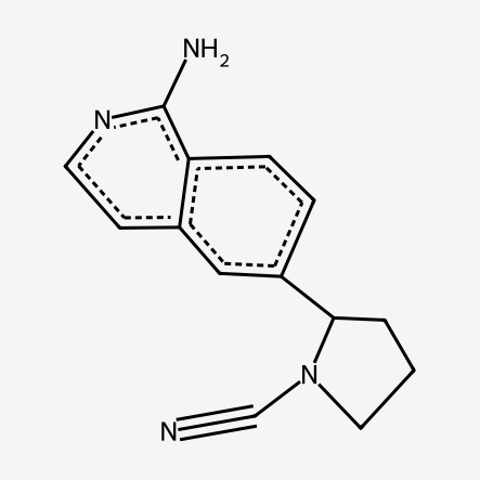 N#CN1CCCC1c1ccc2c(N)nccc2c1